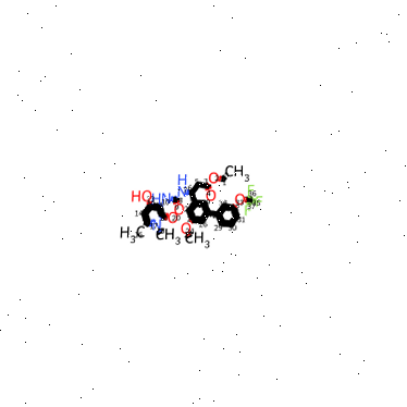 CCOC(=O)CC(NC(=O)Nc1c(O)cc(C)n(C)c1=O)c1cc(OC)cc(-c2cccc(OC(F)(F)F)c2)c1